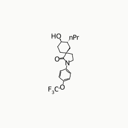 CCC[C@@H]1C[C@@]2(CC[C@H]1O)CCN(c1ccc(OC(F)(F)F)cc1)C2=O